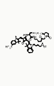 CCN(C)CCCCN1/C(=C/C2=C(NC(CS(=O)(=O)O)C(=O)NCCCCC(=O)CN3C(=O)CCC3=O)C(=C/C3=[N+](C)c4ccc(S(=O)(=O)O)cc4C3(C)C)/C2=O)C(C)(C)c2ccccc21